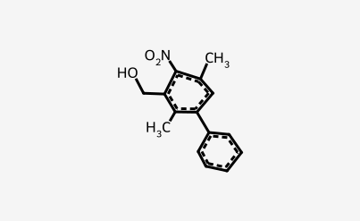 Cc1cc(-c2ccccc2)c(C)c(CO)c1[N+](=O)[O-]